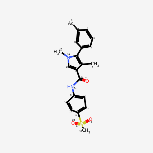 CC(=O)c1cccc(-c2c(C)c(C(=O)Nc3ccc(S(C)(=O)=O)cc3)cn2C)c1